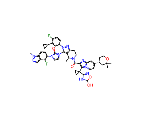 C[C@H]1c2c(nn(-c3ccc(F)c(C4CC4)c3)c2-n2ccn(-c3ccc4c(cnn4C)c3F)c2=O)CCN1C(=O)c1nc2cc([C@@H]3CCOC(C)(C)C3)ccn2c1C1(C2=NOC(O)N2)CC1